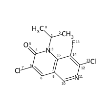 CC(C)n1c(=O)c(Cl)cc2cnc(Cl)c(F)c21